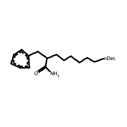 CCCCCCCCCCCCCCCCC(Cc1ccccc1)C(N)=O